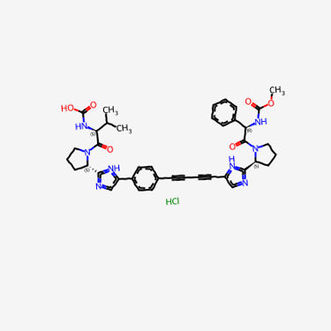 COC(=O)N[C@@H](C(=O)N1CCC[C@H]1c1ncc(C#CC#Cc2ccc(-c3cnc([C@@H]4CCCN4C(=O)[C@@H](NC(=O)O)C(C)C)[nH]3)cc2)[nH]1)c1ccccc1.Cl